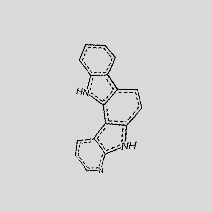 c1ccc2c(c1)[nH]c1c2ccc2[nH]c3ncccc3c21